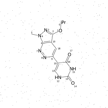 CC(C)Oc1nn(C)c2nnc(-c3c[nH]c(=O)[nH]c3=O)cc12